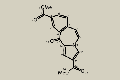 COC(=O)c1ccc2ccn3cc(C(=O)OC)cc3c(=O)c2c1